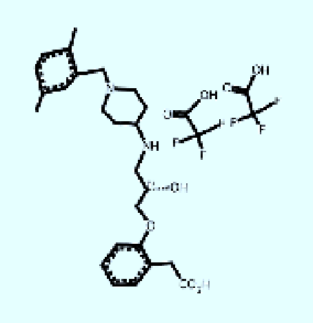 Cc1ccc(C)c(CN2CCC(NC[C@H](O)COc3ccccc3CC(=O)O)CC2)c1.O=C(O)C(F)(F)F.O=C(O)C(F)(F)F